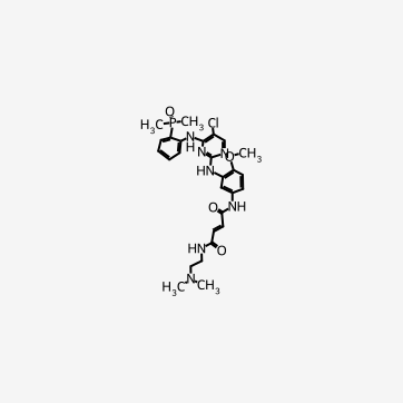 COc1ccc(NC(=O)C=CC(=O)NCCN(C)C)cc1Nc1ncc(Cl)c(Nc2ccccc2P(C)(C)=O)n1